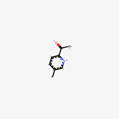 Cc1ccc(C(=O)C(C)C)nc1